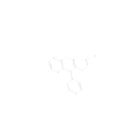 C=C/C=C\C1=C(C)Oc2ccccc2N1c1ccccc1